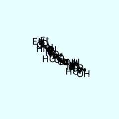 C#C[C@H]1O[C@@H](n2cnc3c(NC4CCN(OC(=O)O[C@H]5[C@@H](O)[C@H](n6cnc7c(NCCS(=O)(=O)N(CC)CC)ncnc76)O[C@@H]5C#C)CC4)ncnc32)[C@H](O)[C@@H]1O